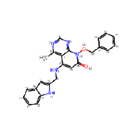 Cc1ncnc2c1c(NCc1cc3ccccc3[nH]1)cc(=O)n2OCc1ccccc1